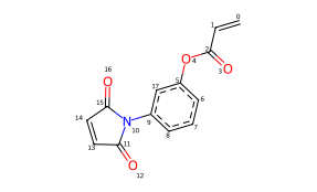 C=CC(=O)Oc1cccc(N2C(=O)C=CC2=O)c1